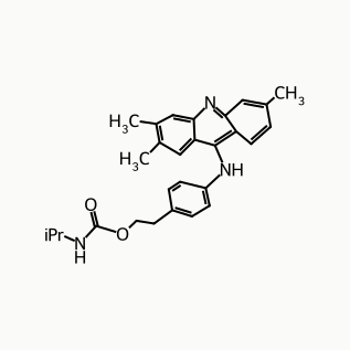 Cc1ccc2c(Nc3ccc(CCOC(=O)NC(C)C)cc3)c3cc(C)c(C)cc3nc2c1